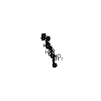 O=C(NS(=O)(=O)c1ccc(NCCSc2ccccc2)c([N+](=O)[O-])c1)c1ccc2c(c1)CC[C@H]1CN(Cc3ccccc3-c3cccc4ccccc34)CCN21